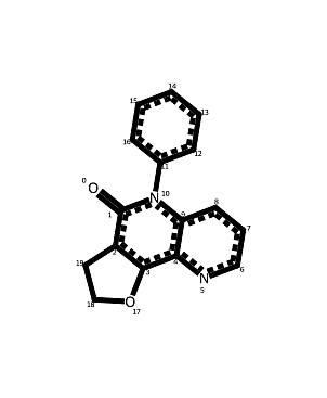 O=c1c2c(c3ncccc3n1-c1ccccc1)OCC2